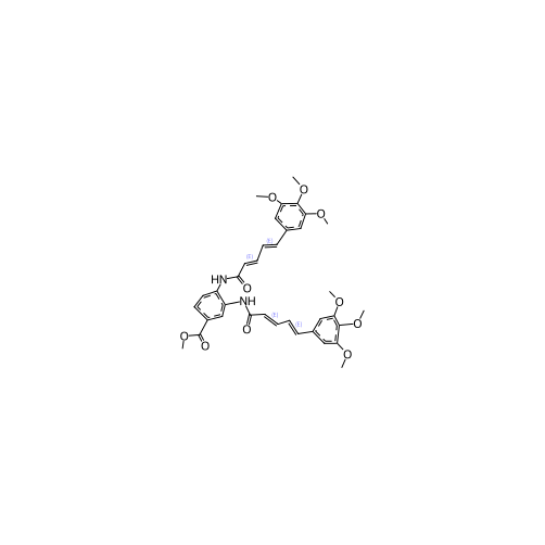 COC(=O)c1ccc(NC(=O)/C=C/C=C/c2cc(OC)c(OC)c(OC)c2)c(NC(=O)/C=C/C=C/c2cc(OC)c(OC)c(OC)c2)c1